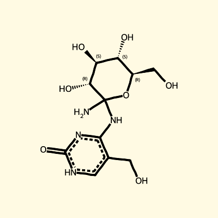 NC1(Nc2nc(=O)[nH]cc2CO)O[C@H](CO)[C@@H](O)[C@H](O)[C@H]1O